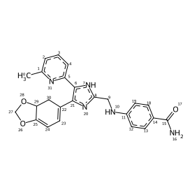 Cc1cccc(-c2[nH]c(CNc3ccc(C(N)=O)cc3)nc2C2=CC=C3OCOC3C2)n1